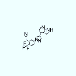 N#CCc1cc(-n2cc(-c3ccnc4[nH]ccc34)cn2)ccc1C(F)(F)F